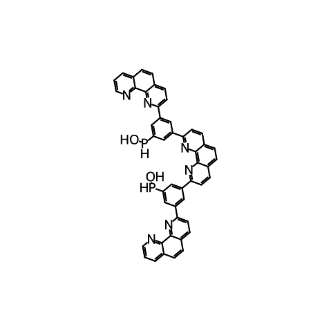 OPc1cc(-c2ccc3ccc4cccnc4c3n2)cc(-c2ccc3ccc4ccc(-c5cc(PO)cc(-c6ccc7ccc8cccnc8c7n6)c5)nc4c3n2)c1